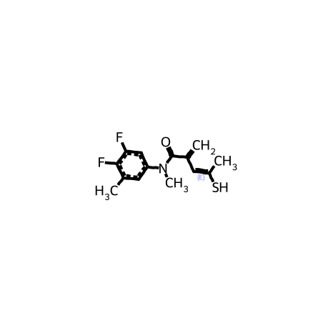 C=C(/C=C(\C)S)C(=O)N(C)c1cc(C)c(F)c(F)c1